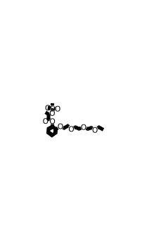 CCOCCOCCOCCOc1ccccc1OC(=O)C(C)OS(C)(=O)=O